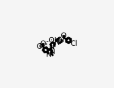 Cc1nc(N2C[C@H](O)[C@@H](N3CCN(C(=O)c4ccc(Cl)cc4)CC3)C2)c2cc([N+](=O)[O-])ccc2n1